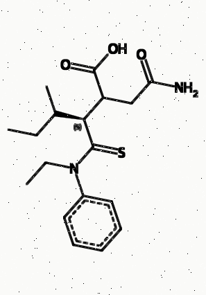 CCC(C)[C@H](C(=S)N(CC)c1ccccc1)C(CC(N)=O)C(=O)O